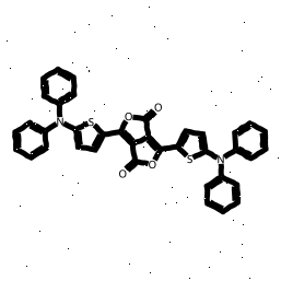 O=C1OC(c2ccc(N(c3ccccc3)c3ccccc3)s2)=C2C(=O)OC(c3ccc(N(c4ccccc4)c4ccccc4)s3)=C12